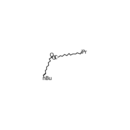 CCCCC=CCCCCCCCC(=O)OCCCCCCCCCCCCC(C)C